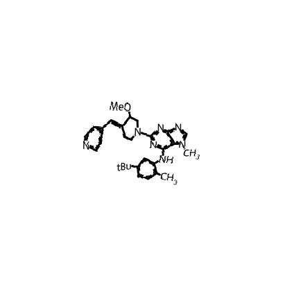 COC1CN(c2nc(Nc3cc(C(C)(C)C)ccc3C)c3c(ncn3C)n2)CCC1=Cc1ccncc1